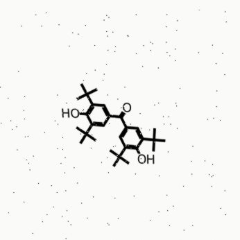 CC(C)(C)c1cc(C(=O)c2cc(C(C)(C)C)c(O)c(C(C)(C)C)c2)cc(C(C)(C)C)c1O